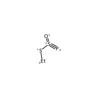 CCSS(=O)#P